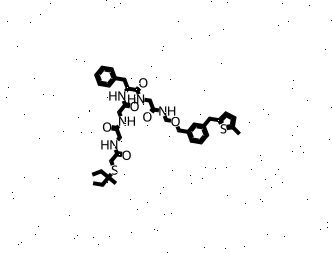 CCC(C)(CC)SCC(=O)NCC(=O)NCC(=O)NC(Cc1ccccc1)C(=O)NCC(=O)NCOCc1cccc(Cc2ccc(C)s2)c1